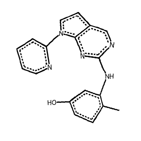 Cc1ccc(O)cc1Nc1ncc2ccn(-c3ccccn3)c2n1